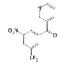 O=C(c1cccnc1)c1cc([N+](=O)[O-])cc(C(F)(F)F)c1